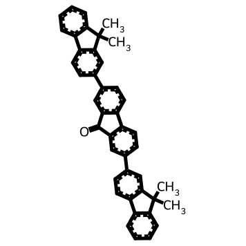 CC1(C)c2ccccc2-c2ccc(-c3ccc4c(c3)C(=O)c3cc(-c5ccc6c(c5)C(C)(C)c5ccccc5-6)ccc3-4)cc21